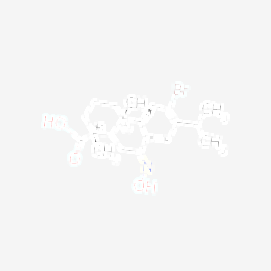 CC(C)c1cc2c(cc1Br)[C@@]1(C)CCC[C@@](C)(C(=O)O)C1CC2=NO